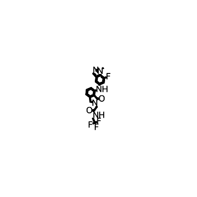 Cn1ncc2cc(Nc3cccc4c3C(=O)N(CC(=O)NCC(F)(F)F)C4)cc(F)c21